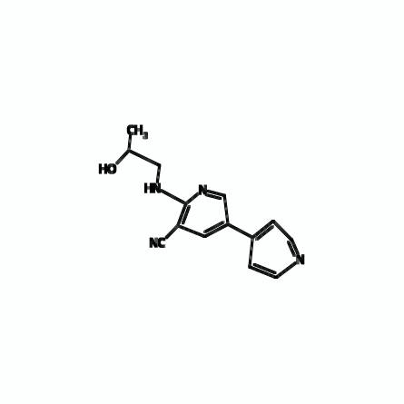 CC(O)CNc1ncc(-c2ccncc2)cc1C#N